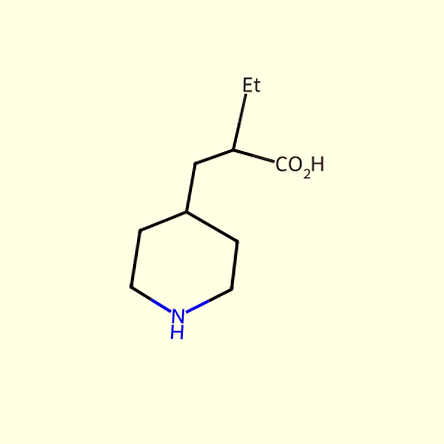 CCC(CC1CCNCC1)C(=O)O